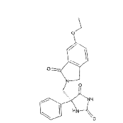 CCOc1ccc2c(c1)C(=O)N(C[C@@]1(c3ccccc3)NC(=O)NC1=O)C2